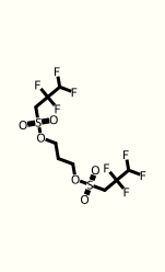 O=S(=O)(CC(F)(F)C(F)F)OCCCOS(=O)(=O)CC(F)(F)C(F)F